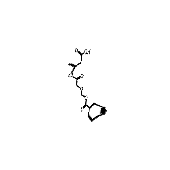 CC(CC(=O)O)OC(=O)COCOC(=O)c1ccccc1